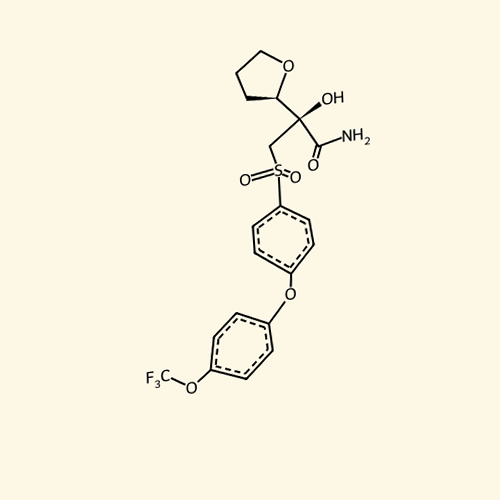 NC(=O)[C@](O)(CS(=O)(=O)c1ccc(Oc2ccc(OC(F)(F)F)cc2)cc1)[C@H]1CCCO1